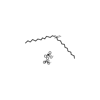 CCCCCCCCCCC[CH2][Sn+2][CH2]CCCCCCCCCCC.O=[N+]([O-])[O-].O=[N+]([O-])[O-]